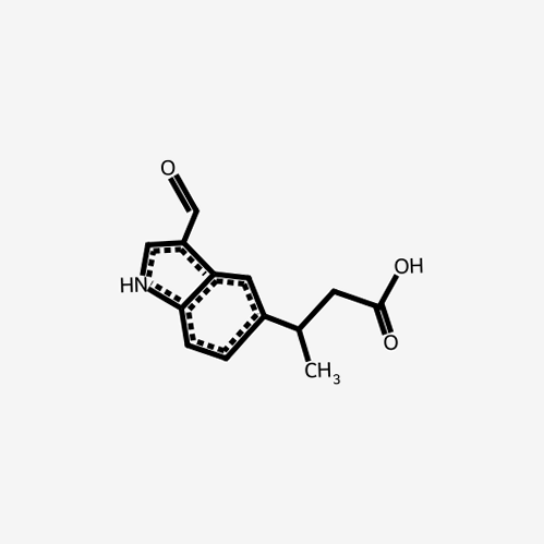 CC(CC(=O)O)c1ccc2[nH]cc(C=O)c2c1